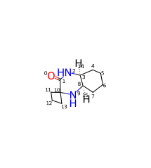 O=C1N[C@H]2CCCC[C@H]2NC12CCC2